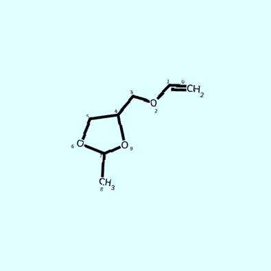 C=COCC1COC(C)O1